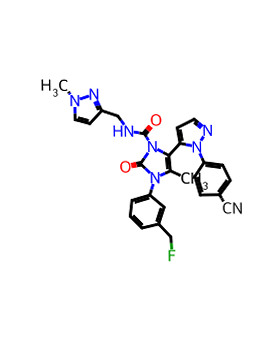 Cc1c(-c2ccnn2-c2ccc(C#N)cc2)n(C(=O)NCc2ccn(C)n2)c(=O)n1-c1cccc(CF)c1